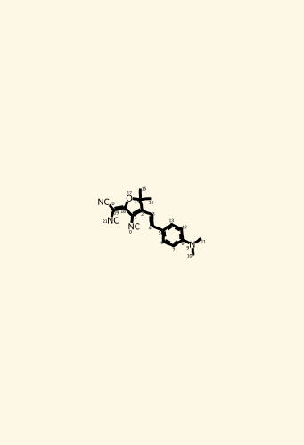 [C-]#[N+]C1=C(/C=C/c2ccc(N(C)C)cc2)C(C)(C)O/C1=C(\C#N)[N+]#[C-]